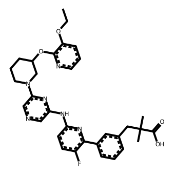 CCOc1cccnc1OC1CCCN(c2cncc(Nc3ccc(F)c(-c4cccc(CC(C)(C)C(=O)O)c4)n3)n2)C1